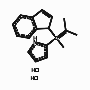 C[C](C)=[Zr]([CH3])([c]1ccc[nH]1)[CH]1C=Cc2ccccc21.Cl.Cl